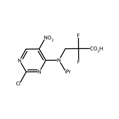 CC(C)N(CC(F)(F)C(=O)O)c1nc(Cl)ncc1[N+](=O)[O-]